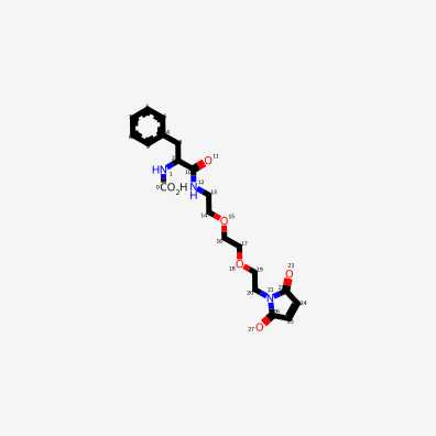 O=C(O)NC(Cc1ccccc1)C(=O)NCCOCCOCCN1C(=O)C=CC1=O